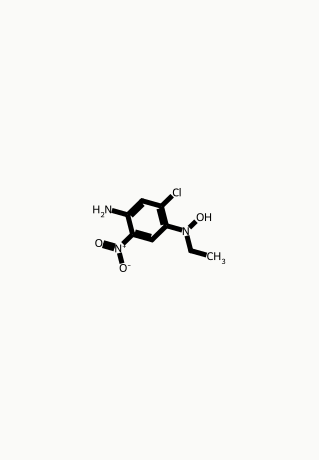 CCN(O)c1cc([N+](=O)[O-])c(N)cc1Cl